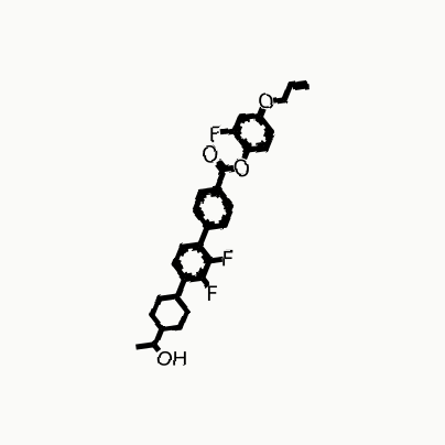 C=CCOc1ccc(OC(=O)c2ccc(-c3ccc(C4CCC(C(C)O)CC4)c(F)c3F)cc2)c(F)c1